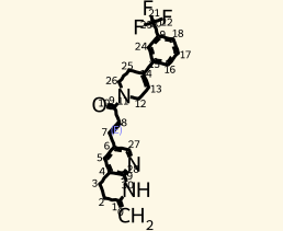 C=C1CCc2cc(/C=C/C(=O)N3CC=C(c4cccc(C(F)(F)F)c4)CC3)cnc2N1